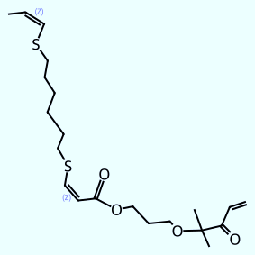 C=CC(=O)C(C)(C)OCCCOC(=O)/C=C\SCCCCCCS/C=C\C